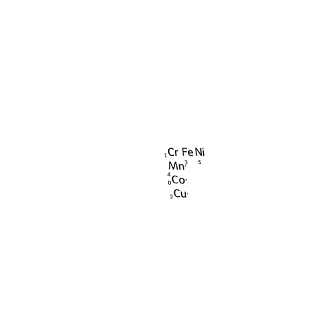 [Co].[Cr].[Cu].[Fe].[Mn].[Ni]